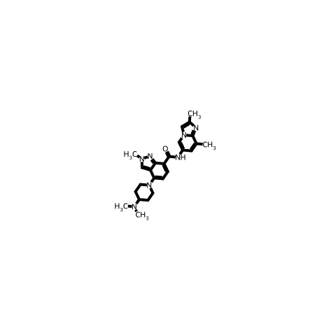 Cc1cn2cc(NC(=O)c3ccc(N4CCC(N(C)C)CC4)c4cn(C)nc34)cc(C)c2n1